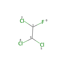 FC(Cl)C(Cl)Cl